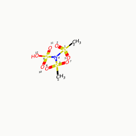 CS(=O)(=O)N(S(C)(=O)=O)S(=O)(=O)O